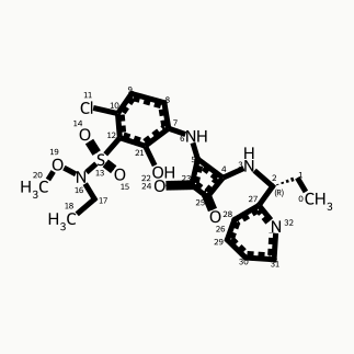 CC[C@@H](Nc1c(Nc2ccc(Cl)c(S(=O)(=O)N(CC)OC)c2O)c(=O)c1=O)c1ccccn1